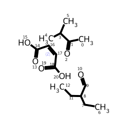 CC(=O)C(C)C.CCC(C=O)CC.O=C(O)/C=C\C(=O)O